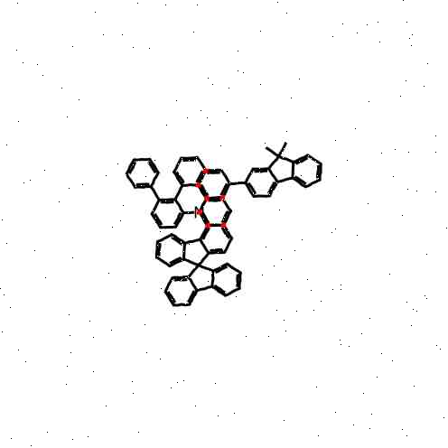 CC1(C)c2ccccc2-c2ccc(-c3cccc(N(c4cccc(-c5ccccc5)c4-c4ccccc4-c4ccccc4)c4cccc5c4-c4ccccc4C54c5ccccc5-c5ccccc54)c3)cc21